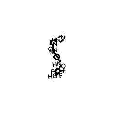 CN1CCN(c2nccc(-c3nc(C45CCC(CNC(=O)c6cc(F)c(O)c(F)c6F)(CC4)CC5)no3)n2)CC1